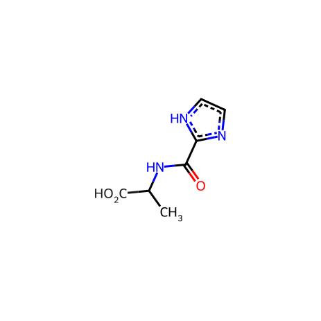 CC(NC(=O)c1ncc[nH]1)C(=O)O